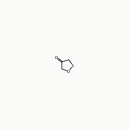 O=C1COSC1